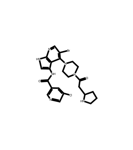 O=C(Nc1c[nH]c2ncc(Br)c(N3CCN(C(=O)CC4CCCN4)CC3)c12)c1cncc(Cl)c1